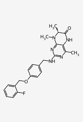 Cc1nc(NCc2ccc(OCc3ccccc3F)cc2)nc2c1NC(=O)[C@H](C)N2C